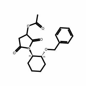 CC(=O)OC1CC(=O)N([C@@H]2CCCC[C@H]2OCc2ccccc2)C1=O